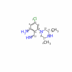 C[C@@H]1CN(c2cc(Cl)cc(N)c2C=N)C[C@H](C)N1